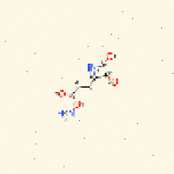 NOC(=O)CCC1NC(=O)C1=O